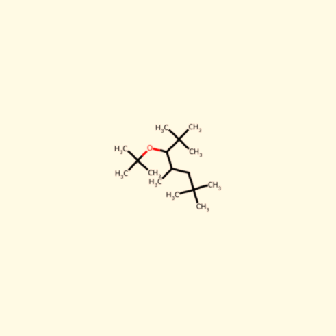 CC(CC(C)(C)C)C(OC(C)(C)C)C(C)(C)C